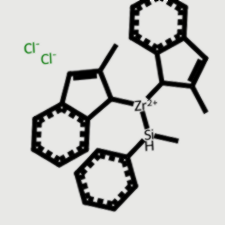 CC1=Cc2ccccc2[CH]1[Zr+2]([CH]1C(C)=Cc2ccccc21)[SiH](C)c1ccccc1.[Cl-].[Cl-]